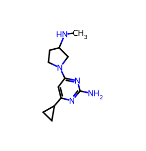 CNC1CCN(c2cc(C3CC3)nc(N)n2)C1